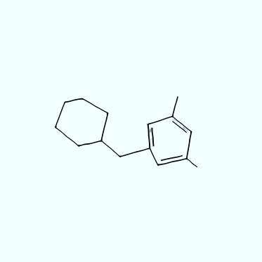 Clc1cc(Cl)cc(CC2CCCCC2)c1